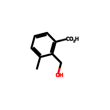 Cc1cccc(C(=O)O)c1CO